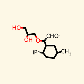 CC1CCC(C(C)C)C(C([C]=O)OCC(O)CO)C1